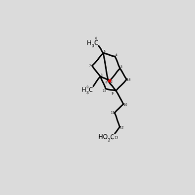 CC12CC3CC(C)(C1)CC(CCCC(=O)O)(C3)C2